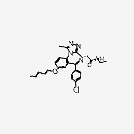 CCCCCOc1ccc2c(c1)C(c1ccc(Cl)cc1)=N[C@@H](CC(=O)NCC)c1nnc(C)n1-2